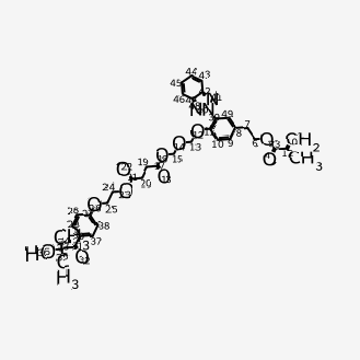 C=C(C)C(=O)OCCc1ccc(OCOCOC(=O)CCC(=O)OCCOc2ccc(C(=O)C(C)(C)O)cc2)c(-n2nc3ccccc3n2)c1